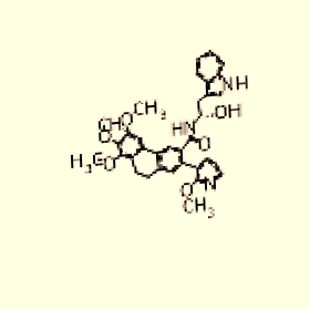 COc1cc2c(c(OC)c1OC)CCc1cc(-c3cccnc3OC)c(C(=O)N[C@@H](CO)Cc3c[nH]c4ccccc34)cc1-2